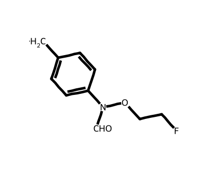 [CH2]c1ccc(N(C=O)OCCF)cc1